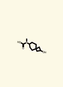 CN(C(=O)O)C1CCC2(CC1)CC(O)C2